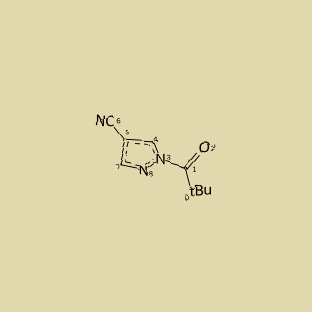 CC(C)(C)C(=O)n1cc(C#N)cn1